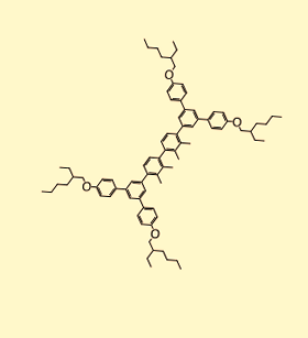 CCCCC(CC)COc1ccc(-c2cc(-c3ccc(OCC(CC)CCCC)cc3)cc(-c3ccc(-c4ccc(-c5cc(-c6ccc(OCC(CC)CCCC)cc6)cc(-c6ccc(OCC(CC)CCCC)cc6)c5)c(C)c4C)c(C)c3C)c2)cc1